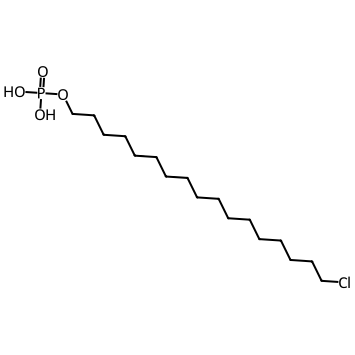 O=P(O)(O)OCCCCCCCCCCCCCCCCCCl